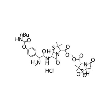 CCCCNC(=O)Oc1ccc(C(N)C(=O)N[C@@H]2C(=O)N3[C@@H]2SC(C)(C)[C@@H]3C(=O)OCOC(=O)[C@@H]2N3C(=O)C[C@H]3S(=O)(=O)C2(C)C)cc1.Cl